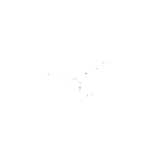 CCCCCCCCCCCCCCC(CCCCCCCCCCCC)(CCCCCCCCCCCC)C(=O)O